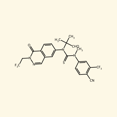 CN(C(=S)N(c1ccc2c(=O)n(CC(F)(F)F)ncc2c1)C(C)(C)C=O)c1ccc(C#N)c(C(F)(F)F)c1